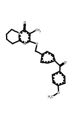 COc1ccc(C(=O)c2ccc(COc3nc4n(c(=O)c3C)CCCC4)cc2)cc1